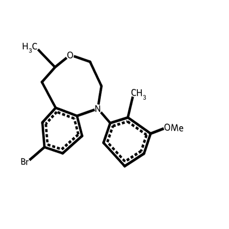 COc1cccc(N2CCOC(C)Cc3cc(Br)ccc32)c1C